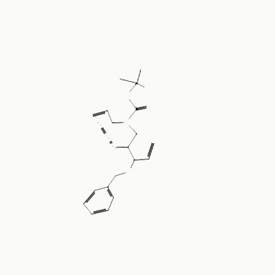 C=CCN(CC(N=[N+]=[N-])C(C=C)OCc1ccccc1)C(=O)OC(C)(C)C